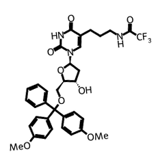 COc1ccc(C(OC[C@H]2O[C@@H](n3cc(CCCNC(=O)C(F)(F)F)c(=O)[nH]c3=O)C[C@@H]2O)(c2ccccc2)c2ccc(OC)cc2)cc1